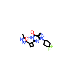 Cc1nnc(C2CC[C@H]2c2nc3c(cnn3C3CCC(F)(F)CC3)c(=O)[nH]2)o1